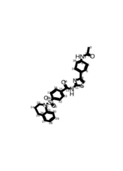 CC(=O)Nc1ccc(-c2csc(NC(=O)c3ccc(S(=O)(=O)N4CCCc5ccccc54)cc3)n2)cc1